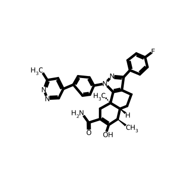 Cc1cc(-c2ccc(-n3nc(-c4ccc(F)cc4)c4c3[C@]3(C)CC(C(N)=O)=C(O)[C@H](C)[C@H]3CC4)cc2)cnn1